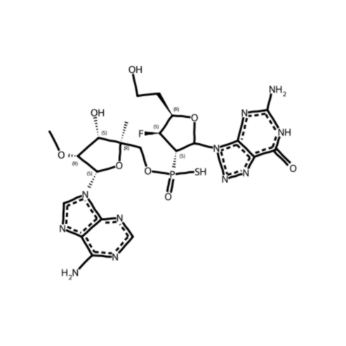 CO[C@H]1[C@@H](n2cnc3c(N)ncnc32)O[C@](C)(COP(=O)(S)[C@H]2C(n3nnc4c(=O)[nH]c(N)nc43)O[C@H](CCO)[C@@H]2F)[C@H]1O